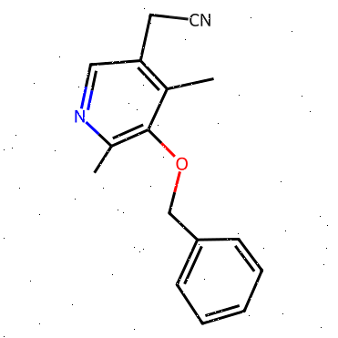 Cc1ncc(CC#N)c(C)c1OCc1ccccc1